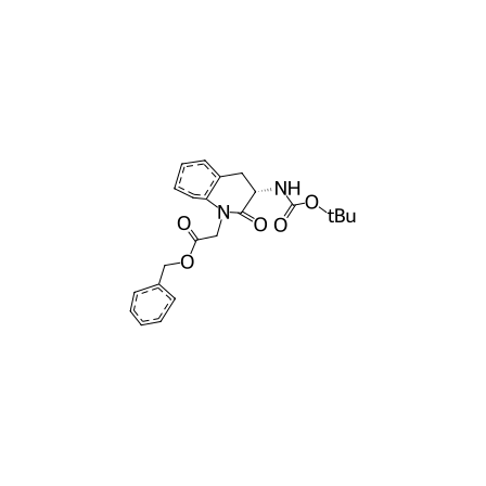 CC(C)(C)OC(=O)N[C@H]1Cc2ccccc2N(CC(=O)OCc2ccccc2)C1=O